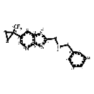 FC(F)(F)C1(c2cnc3sc(COCc4ccccc4)nc3c2)CC1